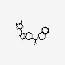 Cc1nsc(-c2nnc3n2CCC(C(=O)N2CCc4ccccc4C2)C3)n1